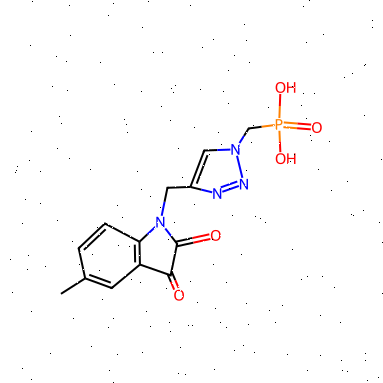 Cc1ccc2c(c1)C(=O)C(=O)N2Cc1cn(CP(=O)(O)O)nn1